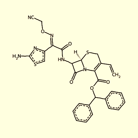 C=CC1=C(C(=O)OC(c2ccccc2)c2ccccc2)N2C(=O)C(NC(=O)/C(=N/OCC#N)c3csc(N)n3)[C@H]2SC1